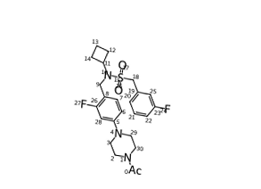 CC(=O)N1CCN(c2ccc(CN(C3CCC3)S(=O)(=O)Cc3cccc(F)c3)c(F)c2)CC1